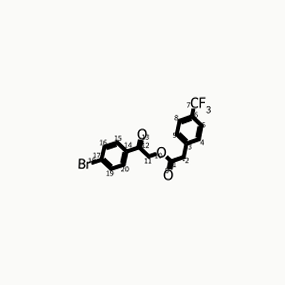 O=C([CH]c1ccc(C(F)(F)F)cc1)OCC(=O)c1ccc(Br)cc1